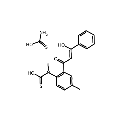 Cc1ccc(N(C)C(O)=S)c(C(=O)C=C(O)c2ccccc2)c1.NC(O)=S